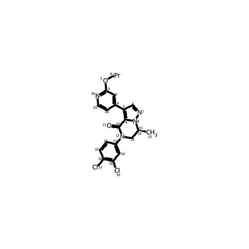 CC(C)Oc1cc(-c2cnn3c2C(=O)N(c2ccc(Cl)c(Cl)c2)C[C@@H]3C)ccn1